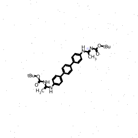 C=C(NC(=O)OC(C)(C)C)Nc1ccc(-c2ccc(-c3ccc(N/C(C)=N/C(=O)OC(C)(C)C)cc3)cc2)cc1